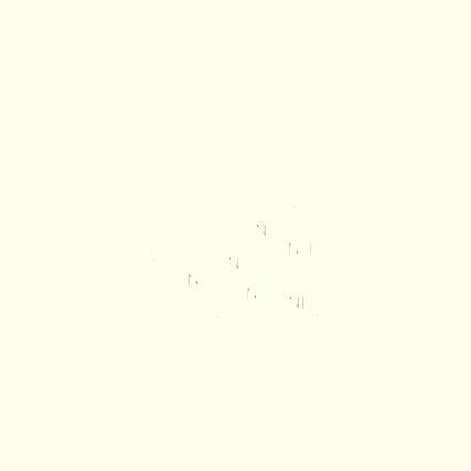 Nc1nc(C(=O)N2CCSCC2)nc2c1[nH]c(=O)n2Cc1ccccc1